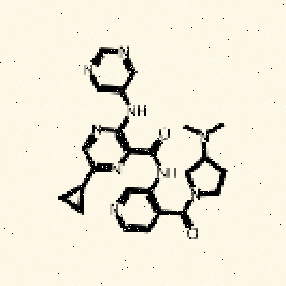 CN(C)C1CCN(C(=O)c2ccncc2NC(=O)c2nc(C3CC3)cnc2Nc2cncnc2)C1